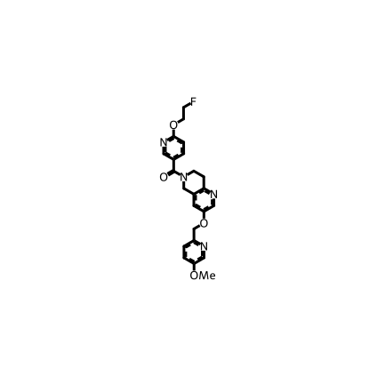 COc1ccc(COc2cnc3c(c2)CN(C(=O)c2ccc(OCCF)nc2)CC3)nc1